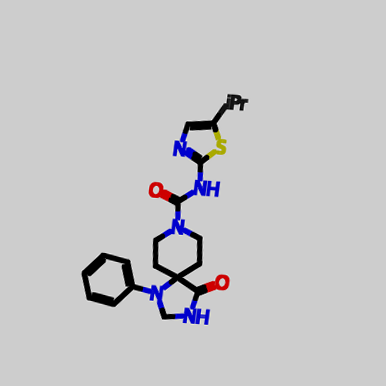 CC(C)c1cnc(NC(=O)N2CCC3(CC2)C(=O)NCN3c2ccccc2)s1